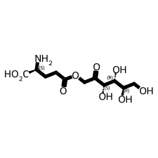 N[C@@H](CCC(=O)OCC(=O)[C@@H](O)[C@H](O)[C@H](O)CO)C(=O)O